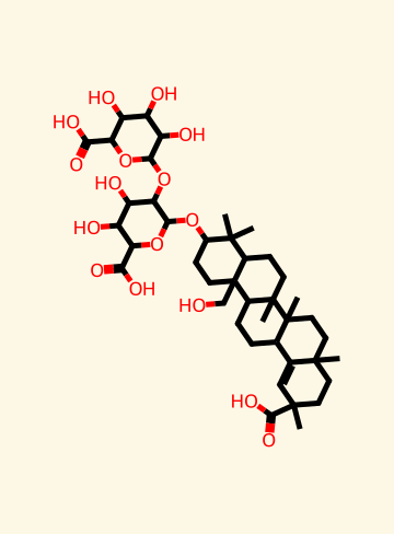 CC1(C(=O)O)C=C2C3CCC4C5(CO)CCC(OC6OC(C(=O)O)C(O)C(O)C6OC6OC(C(=O)O)C(O)C(O)C6O)C(C)(C)C5CCC4(C)C3(C)CCC2(C)CC1